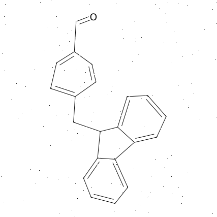 O=Cc1ccc(CC2c3ccccc3-c3ccccc32)cc1